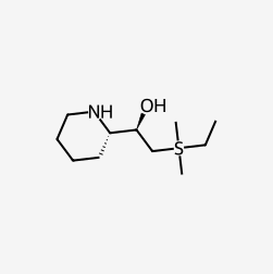 CCS(C)(C)C[C@H](O)[C@@H]1CCCCN1